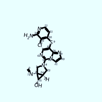 C=N[C@]12CN(c3ncc(Sc4ccnc(N)c4Cl)c4nccn34)C[C@H]1[C@@H]2O